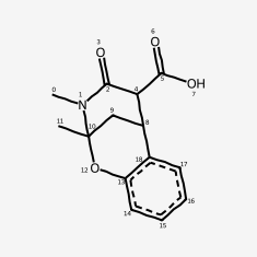 CN1C(=O)C(C(=O)O)C2CC1(C)Oc1ccccc12